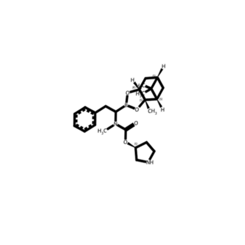 CN(C(=O)O[C@H]1CCNC1)C(Cc1ccccc1)B1O[C@@H]2C[C@@H]3C[C@@H](C3(C)C)[C@]2(C)O1